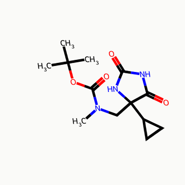 CN(CC1(C2CC2)NC(=O)NC1=O)C(=O)OC(C)(C)C